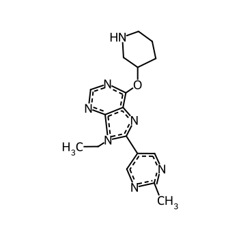 CCn1c(-c2cnc(C)nc2)nc2c(OC3CCCNC3)ncnc21